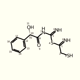 N=C(CS)SC(=N)NC(=O)[C@@H](O)c1ccccc1